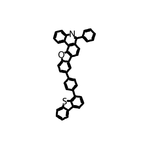 c1ccc(-c2nc3ccccc3c3c2ccc2c4cc(-c5ccc(-c6cccc7c6sc6ccccc67)cc5)ccc4oc23)cc1